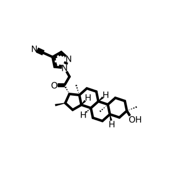 C[C@@H]1C[C@H]2[C@@H]3CC[C@H]4C[C@](C)(O)CC[C@]4(C)[C@H]3CC[C@]2(C)[C@H]1C(=O)Cn1cc(C#N)cn1